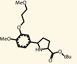 COCCCOc1cc(C2CCC(C(=O)OC(C)(C)C)N2)ccc1OC